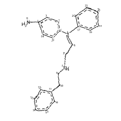 Nc1ccc(/C(=C\CNCCc2ccccc2)c2ccccc2)cc1